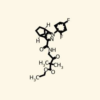 CCOC(=O)C(C)(C)C(=O)CNC(=O)c1nn(-c2ccc(F)cc2F)c2c1[C@H]1CC[C@@H]2C1